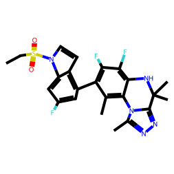 CCS(=O)(=O)n1ccc2c(-c3c(C)c4c(c(F)c3F)NC(C)(C)c3nnc(C)n3-4)cc(F)cc21